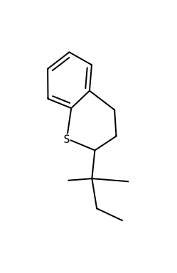 CCC(C)(C)C1CCc2ccccc2S1